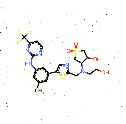 Cc1cc(Nc2nccc(C(F)(F)F)n2)cc(-c2cnc(CN(CCO)C3CS(=O)(=O)CC3O)s2)c1